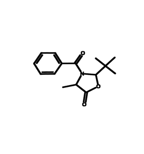 CC1C(=O)OC(C(C)(C)C)N1C(=O)c1ccccc1